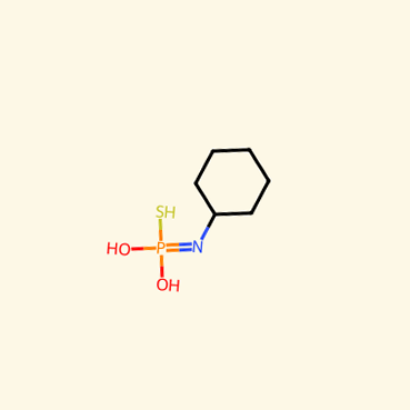 OP(O)(S)=NC1CCCCC1